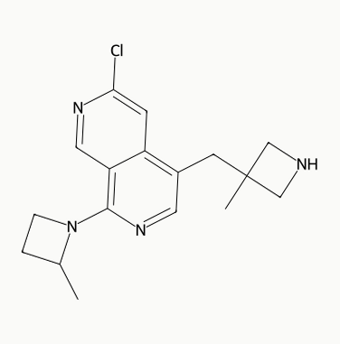 CC1CCN1c1ncc(CC2(C)CNC2)c2cc(Cl)ncc12